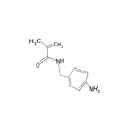 C=C(C)C(=O)NCc1ccc(N)cc1